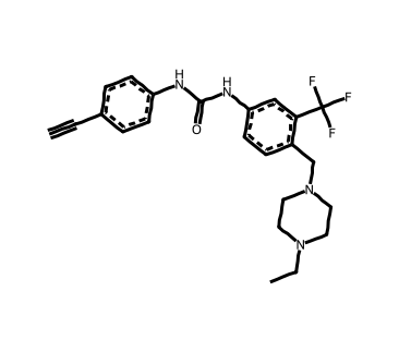 C#Cc1ccc(NC(=O)Nc2ccc(CN3CCN(CC)CC3)c(C(F)(F)F)c2)cc1